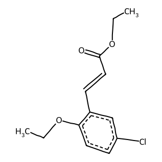 CCOC(=O)/C=C/c1cc(Cl)ccc1OCC